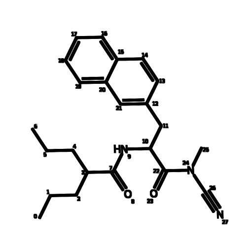 CCCC(CCC)C(=O)NC(Cc1ccc2ccccc2c1)C(=O)N(C)C#N